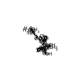 CC1CN(C(=O)CCCNC(=O)OC(C)(C)C)CCC1n1c(O[C@H]2C[C@@H](C(=O)OC(C)(C)C)N(c3nc(CC(=O)O)nc4c3oc3ccccc34)C2)nc2cccc(Cl)c21